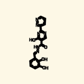 O=C(NN=Cc1cccc(O)c1O)c1cnc(-c2cccnn2)nc1O